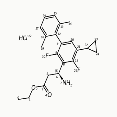 CCOC(=O)C[C@H](N)c1c(F)c(-c2c(C)cccc2C)cc(C2CC2)c1F.Cl